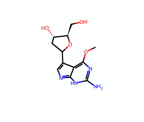 COc1nc(N)[nH]c2ncc(C3C[C@H](O)[C@@H](CO)O3)c1-2